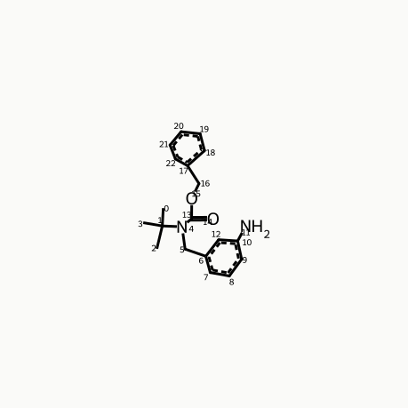 CC(C)(C)N(Cc1cccc(N)c1)C(=O)OCc1ccccc1